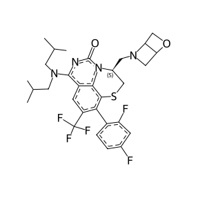 CC(C)CN(CC(C)C)c1nc(=O)n2c3c(c(-c4ccc(F)cc4F)c(C(F)(F)F)cc13)SC[C@@H]2CN1CC2OCC21